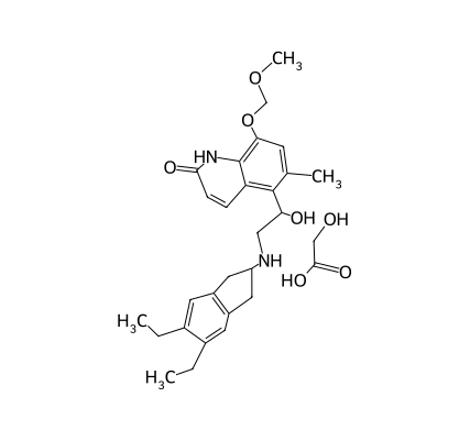 CCc1cc2c(cc1CC)CC(NCC(O)c1c(C)cc(OCOC)c3[nH]c(=O)ccc13)C2.O=C(O)CO